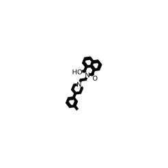 Cc1cccc(C2CCN(CCN3C(=O)c4cccc5cccc(c45)C3O)CC2)c1